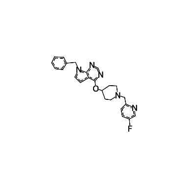 Fc1ccc(CN2CCC(Oc3ncnc4c3ccn4Cc3ccccc3)CC2)nc1